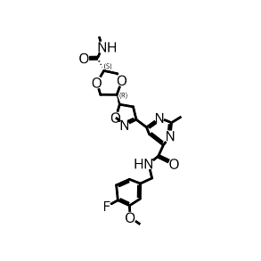 CNC(=O)[C@@H]1CO[C@@H](C2CC(c3cc(C(=O)NCc4ccc(F)c(OC)c4)nc(C)n3)=NO2)CO1